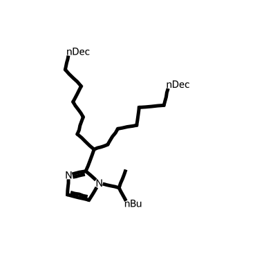 CCCCCCCCCCCCCCCC(CCCCCCCCCCCCCCC)c1nccn1C(C)CCCC